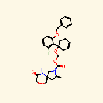 CC1CC2(COCC(=O)N2)CN1C(=O)OCOC1(c2c(F)cccc2OCc2ccccc2)CC=CCC1